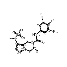 CCS(=O)(=O)N(C)c1cnn2c1CN(C(=O)Nc1cc(F)c(F)c(F)c1)[C@@H](C)C2